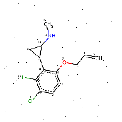 C=CCOc1ccc(Cl)c(F)c1C1CC1NC